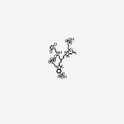 C\C=C(Cl)/C=C1\C(=N\CCCS(=O)(=O)O)N=C(/C=C/C(=C/C=C2/N(CCCS(=O)(=O)O)c3ccc(S(=O)(=O)O)cc3C2(C)C)CCC(=O)NCCN2C(=O)C=CC2=O)C1(C)C